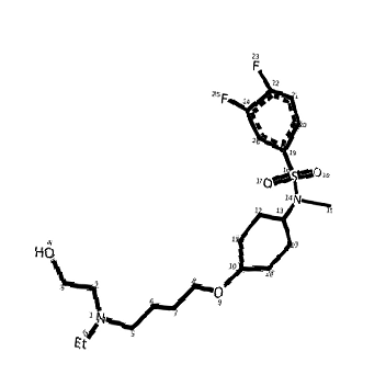 CCN(CCO)CCCCOC1CCC(N(C)S(=O)(=O)c2ccc(F)c(F)c2)CC1